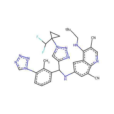 Cc1c(C(Nc2cc(C#N)c3ncc(C#N)c(NCC(C)(C)C)c3c2)c2cn(C3(C(F)F)CC3)nn2)cccc1-n1cnnn1